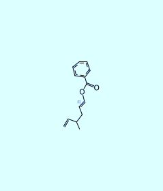 C=CC(C)C/C=C/OC(=O)c1ccccc1